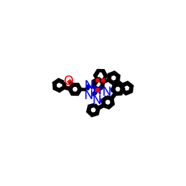 C1=CCC(c2nc(-c3ccc4c(c3)oc3ccccc34)nc(-n3c4ccccc4c4ccc5c6ccccc6n(-c6ccccc6-c6cccc(-c7ccccc7)c6)c5c43)n2)C=C1